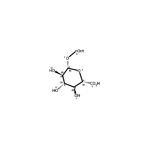 CCCCCCCCO[C@@H]1O[C@H](C(=O)O)[C@@H](O)[C@H](O)[C@H]1O